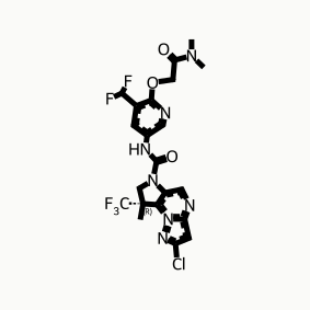 CN(C)C(=O)COc1ncc(NC(=O)N2C[C@@](C)(C(F)(F)F)c3c2cnc2cc(Cl)nn32)cc1C(F)F